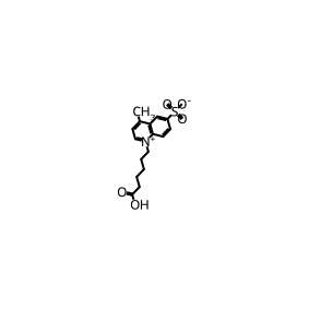 Cc1cc[n+](CCCCCC(=O)O)c2ccc(S(=O)(=O)[O-])cc12